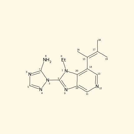 CCn1c(-n2ncnc2N)nc2cncc(C(C)=C(C)C)c21